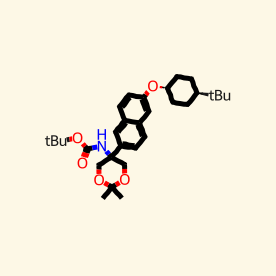 CC(C)(C)OC(=O)NC1(c2ccc3cc(O[C@H]4CC[C@H](C(C)(C)C)CC4)ccc3c2)COC(C)(C)OC1